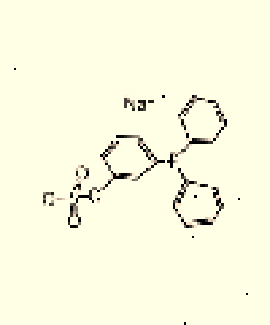 O=S(=O)([O-])Oc1cccc(P(c2ccccc2)c2ccccc2)c1.[Na+]